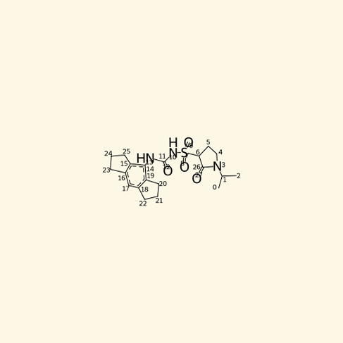 CC(C)N1CCC(S(=O)(=O)NC(=O)Nc2c3c(cc4c2CCC4)CCC3)C1=O